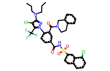 CCCN(CCC)c1nn(-c2ccc(C(=O)NS(=O)(=O)c3ccc4cccc(Cl)c4c3)cc2C(=O)N2CCc3ccccc3C2)c(C(F)(F)F)c1Cl